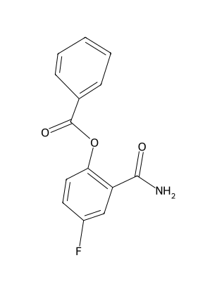 NC(=O)c1cc(F)ccc1OC(=O)c1ccccc1